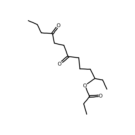 CCCC(=O)CCC(=O)CCCC(CC)OC(=O)CC